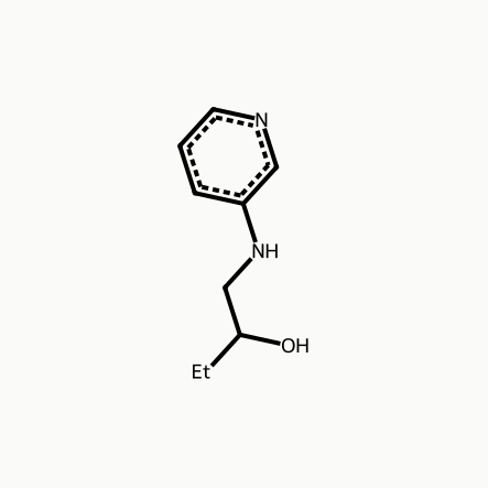 CCC(O)CNc1cccnc1